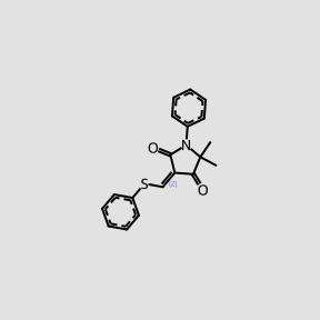 CC1(C)C(=O)/C(=C/Sc2ccccc2)C(=O)N1c1ccccc1